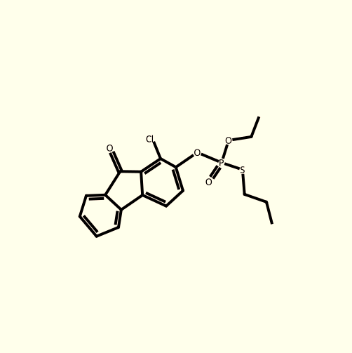 CCCSP(=O)(OCC)Oc1ccc2c(c1Cl)C(=O)c1ccccc1-2